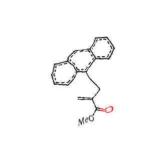 C=C(Cc1c2ccccc2cc2ccccc12)C(=O)OC